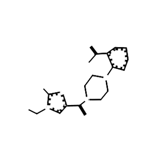 C=C(C)c1ccccc1N1CCN(C(=O)c2cn(CC(=O)O)c(C)n2)CC1